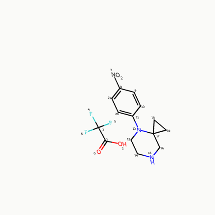 O=C(O)C(F)(F)F.O=[N+]([O-])c1ccc(N2CCNCC23CC3)cc1